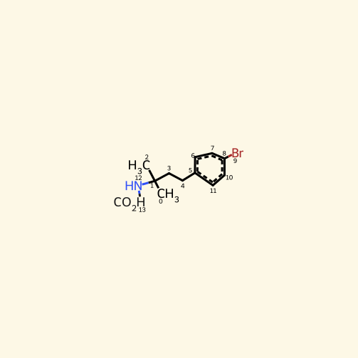 CC(C)(CCc1ccc(Br)cc1)NC(=O)O